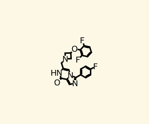 O=c1[nH]c(CN2CC(Oc3c(F)cccc3F)C2)cn2c(-c3ccc(F)cc3)ncc12